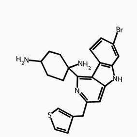 NC1CCC(N)(c2nc(Cc3ccsc3)cc3[nH]c4cc(Br)ccc4c23)CC1